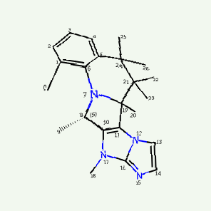 Cc1cccc2c1N1[C@@H](C)c3c(n4ccnc4n3C)C1(C)C(C)(C)C2(C)C